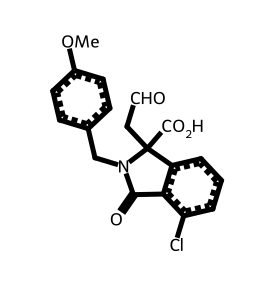 COc1ccc(CN2C(=O)c3c(Cl)cccc3C2(CC=O)C(=O)O)cc1